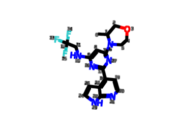 CC1COCCN1c1cc(NCC(F)(F)F)nc(-c2ccnc3[nH]ccc23)n1